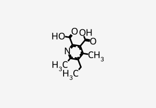 CCc1c(C)nc(C(=O)O)c(C(=O)O)c1C